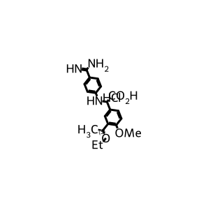 CCO[C@@H](C)c1cc(C(Nc2ccc(C(=N)N)cc2)C(=O)O)ccc1OC.Cl